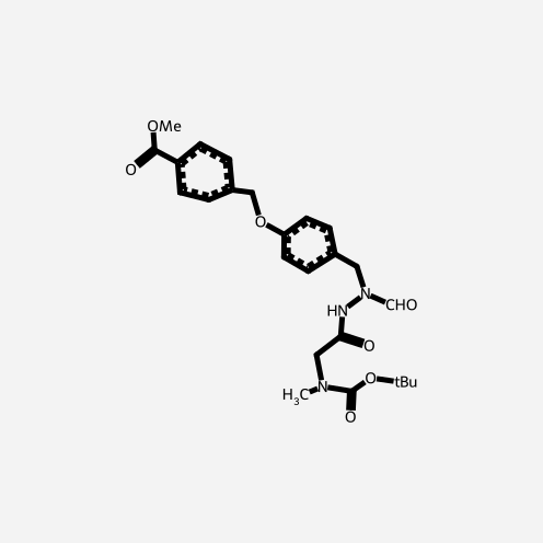 COC(=O)c1ccc(COc2ccc(CN(C=O)NC(=O)CN(C)C(=O)OC(C)(C)C)cc2)cc1